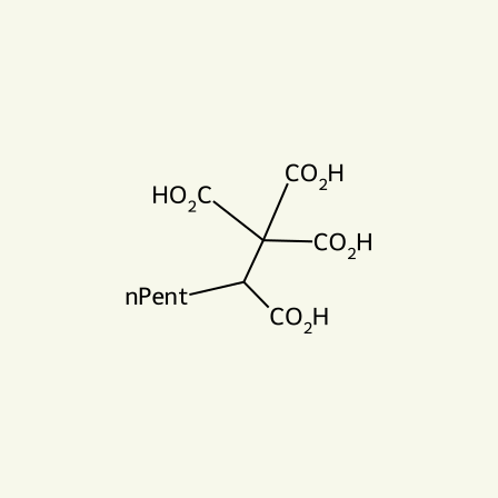 CCCCCC(C(=O)O)C(C(=O)O)(C(=O)O)C(=O)O